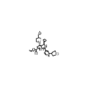 CCOC(=O)c1cc(N2CCC(COC)CC2)c2c(C3CCC3)nn(-c3ccnc(C4CCOCC4)c3)c2n1